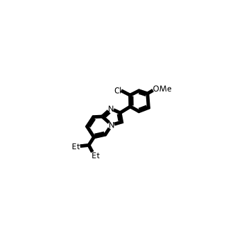 CCC(CC)c1ccc2nc(-c3ccc(OC)cc3Cl)cn2c1